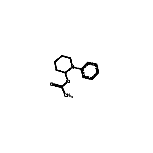 CC(=O)OC1CCCCN1c1ccccc1